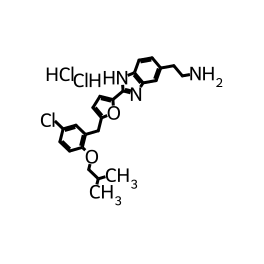 CC(C)COc1ccc(Cl)cc1Cc1ccc(-c2nc3cc(CCN)ccc3[nH]2)o1.Cl.Cl